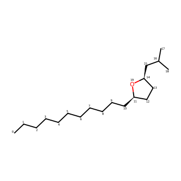 CCCCCCCCCCC[C@@H]1CC[C@H](CC(C)C)O1